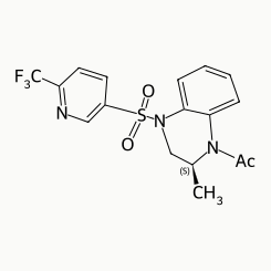 CC(=O)N1c2ccccc2N(S(=O)(=O)c2ccc(C(F)(F)F)nc2)C[C@@H]1C